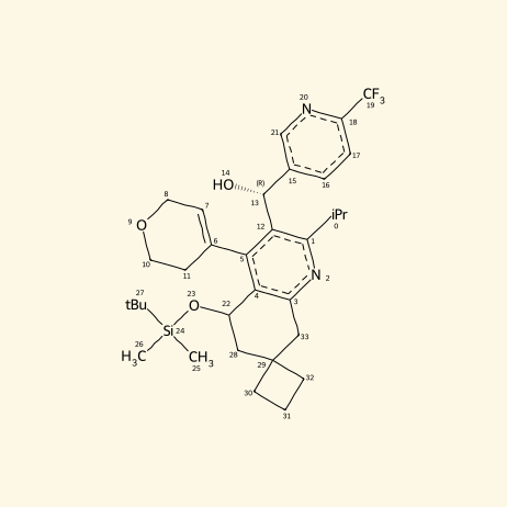 CC(C)c1nc2c(c(C3=CCOCC3)c1[C@H](O)c1ccc(C(F)(F)F)nc1)C(O[Si](C)(C)C(C)(C)C)CC1(CCC1)C2